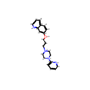 c1ccc(N2CCN(CCCOc3ccc4cccnc4c3)CC2)nc1